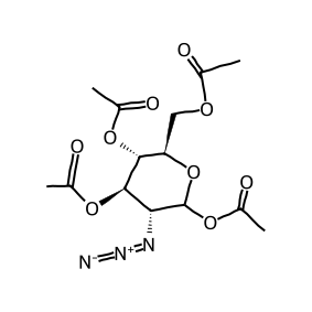 CC(=O)OC[C@H]1OC(OC(C)=O)[C@H](N=[N+]=[N-])[C@@H](OC(C)=O)[C@@H]1OC(C)=O